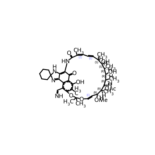 CO[C@H]1/C=C/OC(C)(C)Oc2c(C)c(O)c3c(c2C=N)C2=NC4(CCCCC4)NC2=C(NC(=O)/C(C)=C\C=C\[C@H](C)[C@H](O)[C@@H](C)[C@@H](O)[C@@H](C)[C@H](OC(C)=O)[C@@H]1C)C3=O